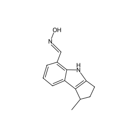 CC1CCc2[nH]c3c(C=NO)cccc3c21